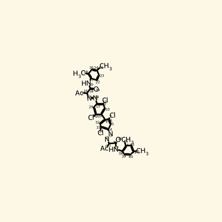 CC(=O)C(/N=N/c1cc(Cl)c(-c2cc(Cl)c(/N=N/C(C(C)=O)C(=O)Nc3ccc(C)cc3C)cc2Cl)cc1Cl)C(=O)Nc1ccc(C)cc1C